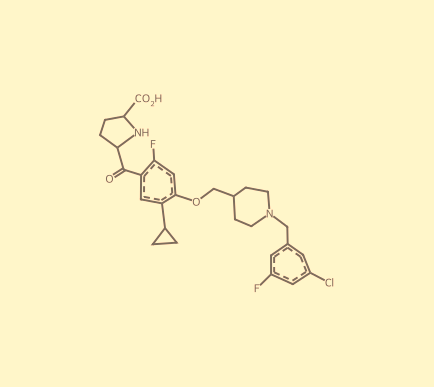 O=C(O)C1CCC(C(=O)c2cc(C3CC3)c(OCC3CCN(Cc4cc(F)cc(Cl)c4)CC3)cc2F)N1